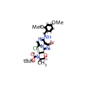 COc1ccc(CNc2ncc(Cl)n3c([C@H]4CN(C(=O)OC(C)(C)C)[C@@H](C)CO4)nc(Br)c23)c(OC)c1